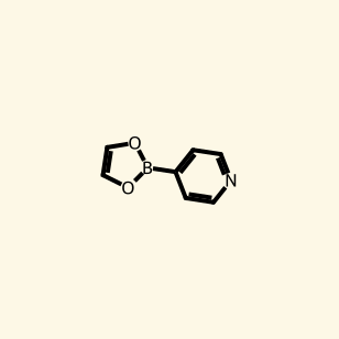 C1=COB(c2ccncc2)O1